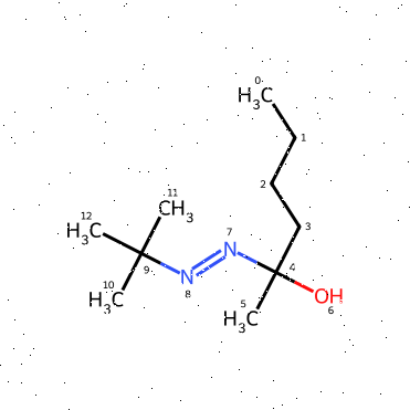 CCCCC(C)(O)N=NC(C)(C)C